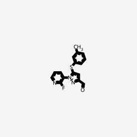 Cc1cccc(Sc2cc(C=O)nn2-c2cccnc2F)c1